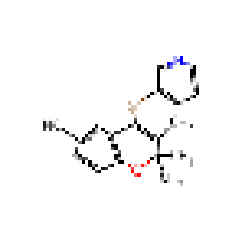 CC1=C(Sc2cccnc2)c2cc(C#N)ccc2OC1(C)C